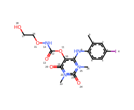 Cc1cc(I)ccc1Nc1c(OC(=O)NOCCO)c(=O)n(C)c(=O)n1C